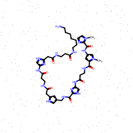 Cn1cc(NC(=O)c2nccn2C)cc1C(=O)NCCC(=O)Nc1c[nH]c(C(=O)NCc2c[nH]c(CC(=O)NCCC(=O)Nc3c[nH]c(CC(=O)NCCC(=O)NCCCCCCCN)n3)c2)n1